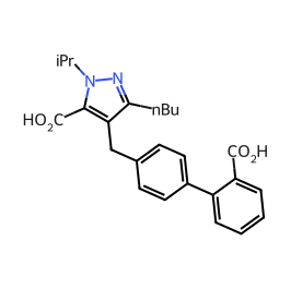 CCCCc1nn(C(C)C)c(C(=O)O)c1Cc1ccc(-c2ccccc2C(=O)O)cc1